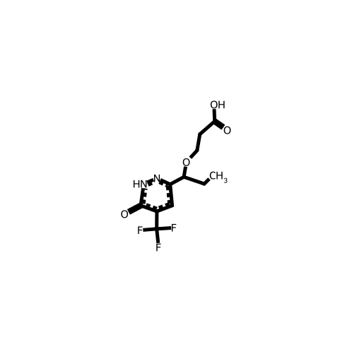 CCC(OCCC(=O)O)c1cc(C(F)(F)F)c(=O)[nH]n1